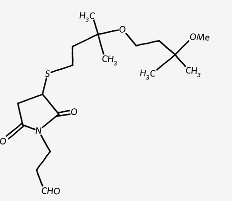 COC(C)(C)CCOC(C)(C)CCSC1CC(=O)N(CCC=O)C1=O